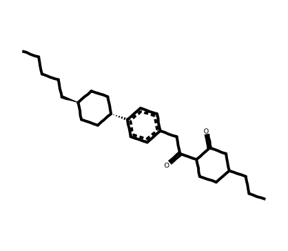 CCCCC[C@H]1CC[C@H](c2ccc(CC(=O)C3CCC(CCC)CC3=O)cc2)CC1